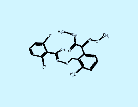 CNC(=O)/C(=N/OC)c1cccc(C)c1CO/N=C(\C)c1c(Cl)cccc1Br